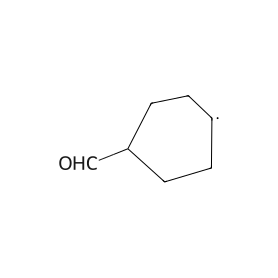 O=CC1CC[CH]CC1